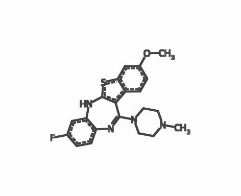 COc1ccc2c3c(sc2c1)Nc1cc(F)ccc1N=C3N1CCN(C)CC1